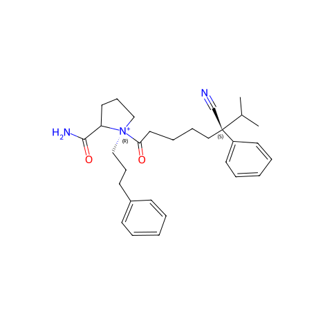 CC(C)[C@@](C#N)(CCCCC(=O)[N@+]1(CCCc2ccccc2)CCCC1C(N)=O)c1ccccc1